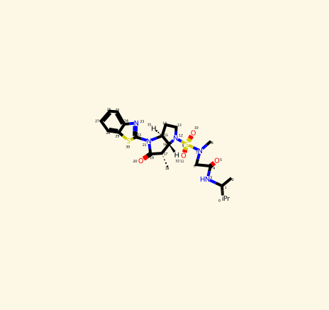 CC(C)C(C)NC(=O)CN(C)S(=O)(=O)N1CC[C@H]2[C@H]1[C@H](C)C(=O)N2c1nc2ccccc2s1